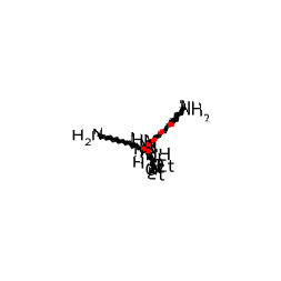 CCO[Si](C)(CCCNc1nc(NCCCCCCCCCCCCN)nc(NCCCCCCCCCCCCN)n1)OCC